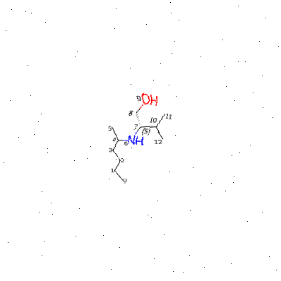 CCCCC(C)N[C@H](CO)C(C)C